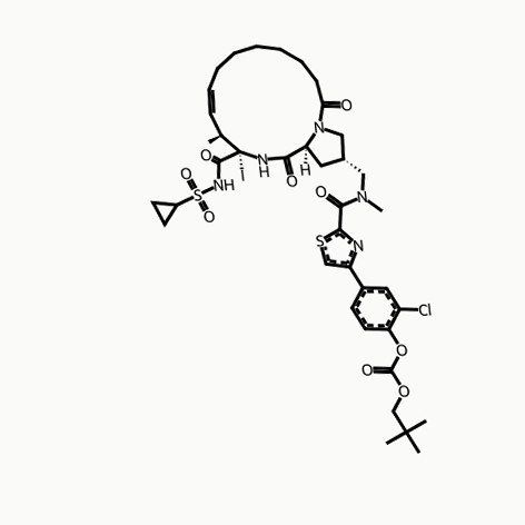 C[C@H]1/C=C\CCCCCCC(=O)N2C[C@H](CN(C)C(=O)c3nc(-c4ccc(OC(=O)OCC(C)(C)C)c(Cl)c4)cs3)C[C@H]2C(=O)N[C@@]1(I)C(=O)NS(=O)(=O)C1CC1